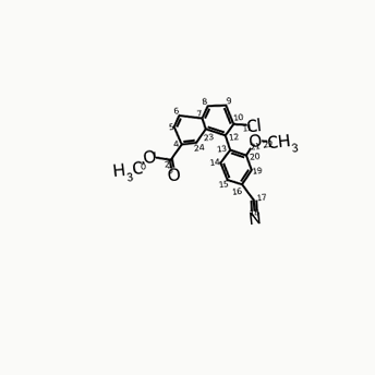 COC(=O)c1ccc2ccc(Cl)c(-c3ccc(C#N)cc3OC)c2c1